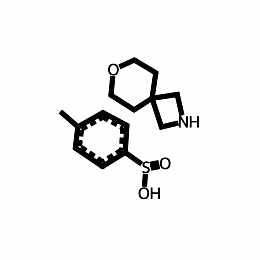 C1CC2(CCO1)CNC2.Cc1ccc(S(=O)O)cc1